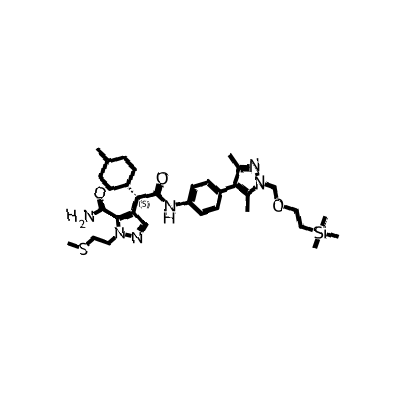 CSCCn1ncc([C@@H](C(=O)Nc2ccc(-c3c(C)nn(COCC[Si](C)(C)C)c3C)cc2)C2CCC(C)CC2)c1C(N)=O